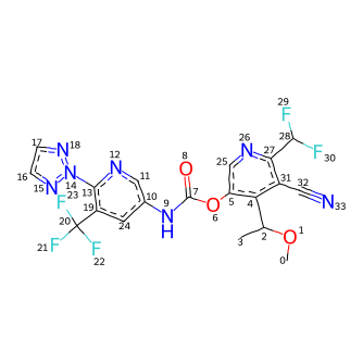 COC(C)c1c(OC(=O)Nc2cnc(-n3nccn3)c(C(F)(F)F)c2)cnc(C(F)F)c1C#N